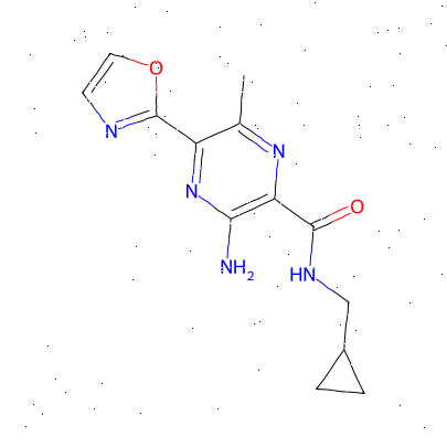 Cc1nc(C(=O)NCC2CC2)c(N)nc1-c1ncco1